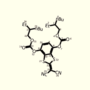 CCCCC(CC)COC(=O)Oc1ccc(OC(=O)OCC(CC)CCCC)c2c1SC(=C(C#N)C#N)S2